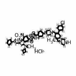 CN(CC[C@H](CSc1ccccc1)Nc1ccc(S(=O)(=O)NC(=O)c2ccc(N3CCN(CC4=C(c5ccc(Cl)cc5)CCC(C)(CN5CCNCC5)C4)CC3)cc2)cc1[N+](=O)[O-])C1CCC1.Cl